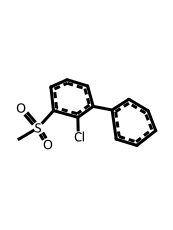 CS(=O)(=O)c1cccc(-c2ccccc2)c1Cl